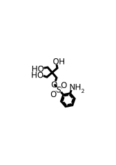 Nc1ccccc1S(=O)(=O)OCC(CO)(CO)CO